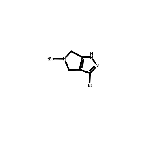 CCc1n[nH]c2c1CN(C(C)(C)C)C2